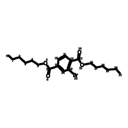 CCCCCCOC(=O)c1ccc(C(=O)OCCCCCC)c(Br)c1